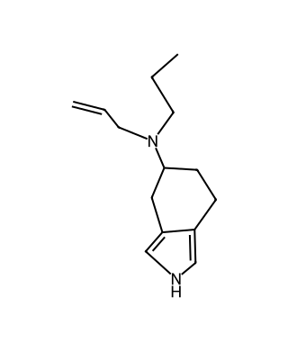 C=CCN(CCC)C1CCc2c[nH]cc2C1